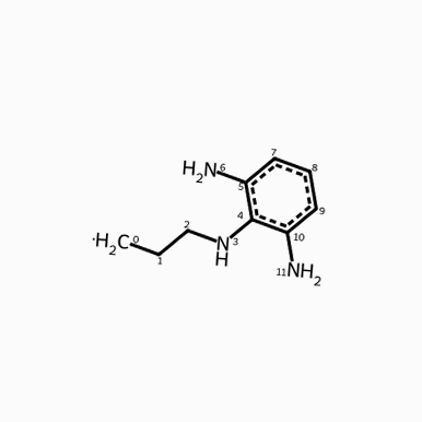 [CH2]CCNc1c(N)cccc1N